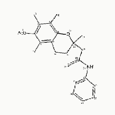 CC(=O)Oc1c(C)c(C)c2c(c1C)CCC(C)(CC(=S)Nc1ccccc1)O2